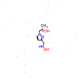 C[C@H](O)Cn1ccc(CNO)n1